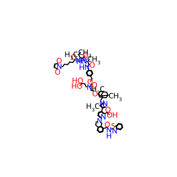 Cc1c(-c2ccc(N3CCc4cccc(C(=O)Nc5nc6ccccc6s5)c4C3)nc2C(=O)O)cnn1CC12CC3(C)CC(C)(C1)CC(OCCN(CCC(O)O)C(=O)OCc1ccc(NC(=O)[C@H](C)NC(=O)[C@@H](NC(=O)CCCCCN4C(=O)C=CC4=O)C(C)C)cc1)(C3)C2